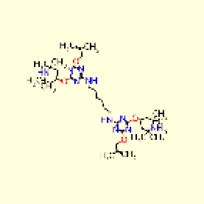 C=C(C)COc1nc(NCCCCCCNc2nc(OCC(=C)C)nc(OC3CC(C)(C)NC(C)(C)C3)n2)nc(OC2CC(C)(C)NC(C)(C)C2)n1